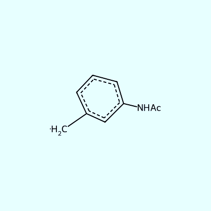 [CH2]c1cccc(NC(C)=O)c1